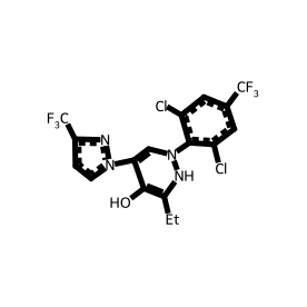 CCC1=C(O)C(n2ccc(C(F)(F)F)n2)=CN(c2c(Cl)cc(C(F)(F)F)cc2Cl)N1